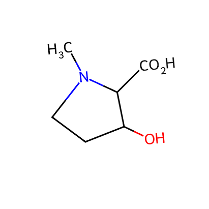 CN1CCC(O)C1C(=O)O